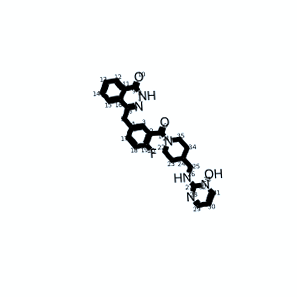 O=C(c1cc(Cc2n[nH]c(=O)c3ccccc23)ccc1F)N1CCC(CNC2N=CC=CN2O)CC1